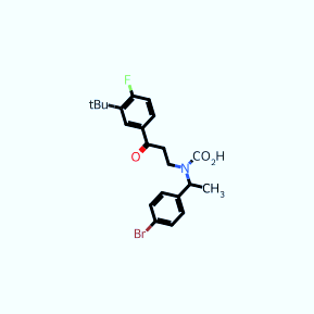 CC(c1ccc(Br)cc1)N(CCC(=O)c1ccc(F)c(C(C)(C)C)c1)C(=O)O